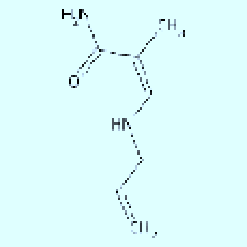 C=CCNC=C(C)C(N)=O